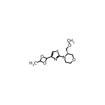 COC[C@H]1COCCN1c1nc(C2OC(C)O2)cs1